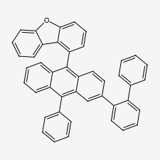 c1ccc(-c2ccccc2-c2ccc3c(-c4cccc5oc6ccccc6c45)c4ccccc4c(-c4ccccc4)c3c2)cc1